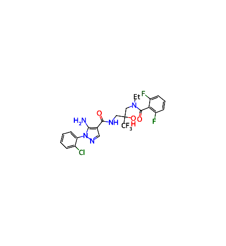 CCN(CC(O)(CNC(=O)c1cnn(-c2ccccc2Cl)c1N)C(F)(F)F)C(=O)c1c(F)cccc1F